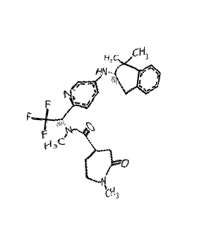 CN1CCC(C(=O)N(C)[C@@H](c2ccc(N[C@H]3Cc4ccccc4C3(C)C)cn2)C(F)(F)F)CC1=O